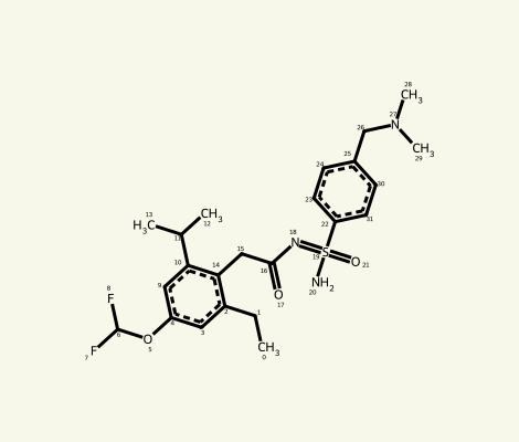 CCc1cc(OC(F)F)cc(C(C)C)c1CC(=O)N=S(N)(=O)c1ccc(CN(C)C)cc1